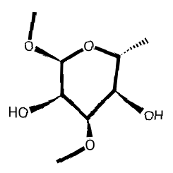 CO[C@H]1O[C@H](C)[C@@H](O)[C@@H](OC)[C@H]1O